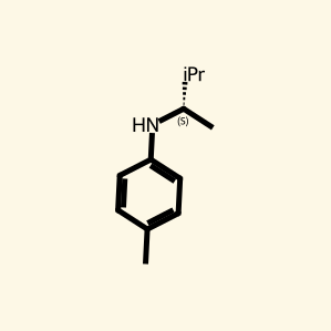 Cc1ccc(N[C@@H](C)C(C)C)cc1